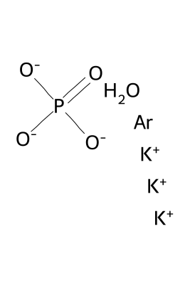 O.O=P([O-])([O-])[O-].[Ar].[K+].[K+].[K+]